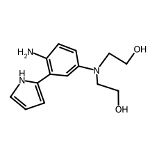 Nc1ccc(N(CCO)CCO)cc1-c1ccc[nH]1